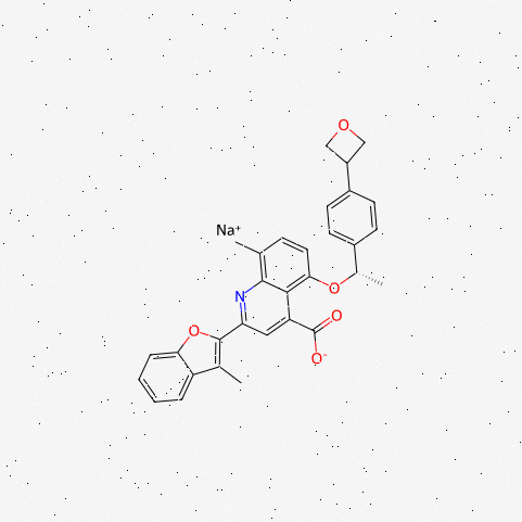 Cc1c(-c2cc(C(=O)[O-])c3c(O[C@@H](C)c4ccc(C5COC5)cc4)ccc(C)c3n2)oc2ccccc12.[Na+]